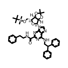 CC1(C)O[C@H]2[C@H](O1)[C@@H](CO[Si](C)(C)C(C)(C)C)O[C@H]2n1cnc2c(NCC(c3ccccc3)c3ccccc3)nc(C(=O)NCCc3ccccc3)nc21